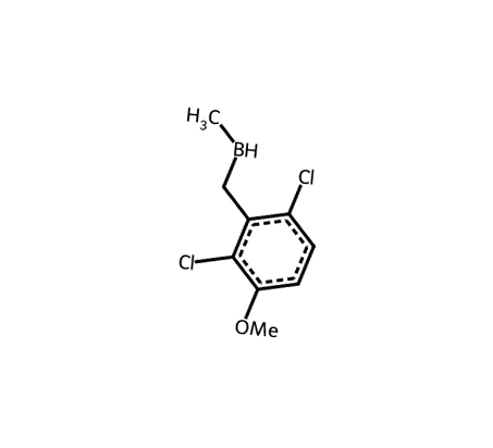 CBCc1c(Cl)ccc(OC)c1Cl